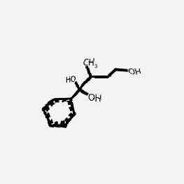 CC(CCO)C(O)(O)c1ccccc1